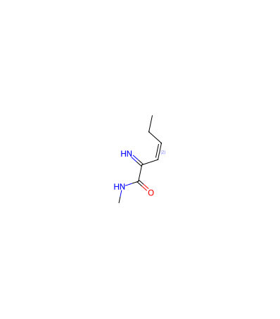 CC/C=C\C(=N)C(=O)NC